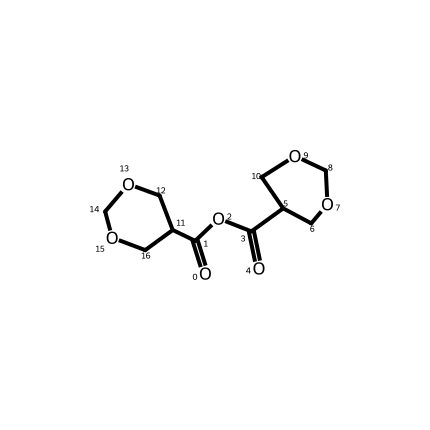 O=C(OC(=O)C1COCOC1)C1COCOC1